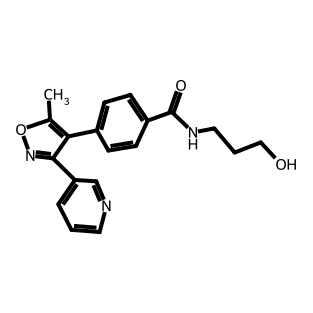 Cc1onc(-c2cccnc2)c1-c1ccc(C(=O)NCCCO)cc1